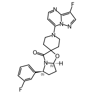 O=C1N2[C@H](CC[C@H]2c2cccc(F)c2)OC12CCN(c1ccnc3c(F)cnn13)CC2